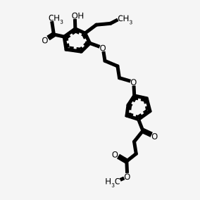 CCCc1c(OCCCOc2ccc(C(=O)CCC(=O)OC)cc2)ccc(C(C)=O)c1O